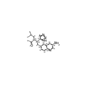 CC(=O)[C@@H](CC(C)C)[C@H](Cc1ccc2ncc(N)cc2c1)c1nnn[nH]1